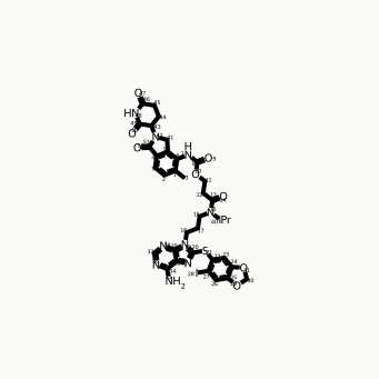 Cc1ccc2c(c1NC(=O)OCCC(=O)N(CCCn1c(Sc3cc4c(cc3I)OCO4)nc3c(N)ncnc31)C(C)C)CN(C1CCC(=O)NC1=O)C2=O